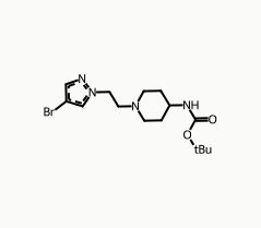 CC(C)(C)OC(=O)NC1CCN(CCn2cc(Br)cn2)CC1